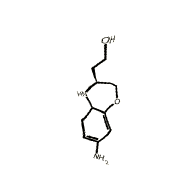 NC1=CCC2N[C@@H](CCO)COC2=C1